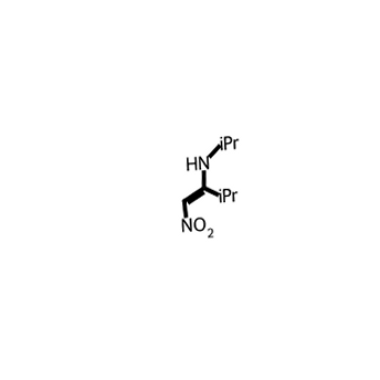 CC(C)N/C(=C/[N+](=O)[O-])C(C)C